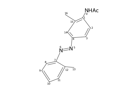 CC(=O)Nc1ccc(N=Nc2ccccc2C)cc1C